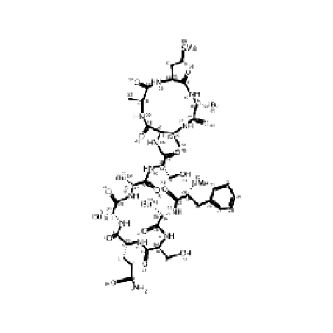 CC[C@@H](C)[C@@H](NC(=O)[C@@H](CCC(N)=O)NC(=O)[C@H](CO)NC(=O)[C@@H](NC(=O)[C@@H](Cc1ccccc1)NC)[C@@H](C)CC)C(=O)N[C@H](C(=O)N[C@@H](CO)C(=O)N[C@H]1C(=O)N[C@@H](C)C(=O)N[C@@H](CCSC)C(=O)N[C@@H]([C@@H](C)CC)C(=O)N[C@H]1C)[C@@H](C)CC